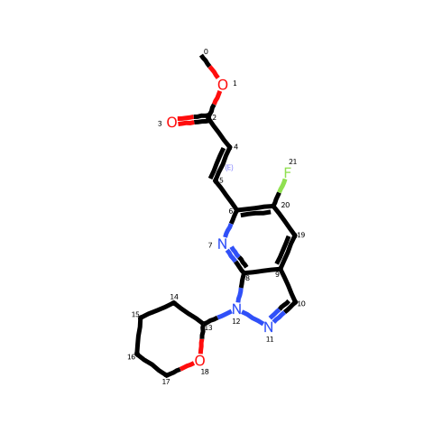 COC(=O)/C=C/c1nc2c(cnn2C2CCCCO2)cc1F